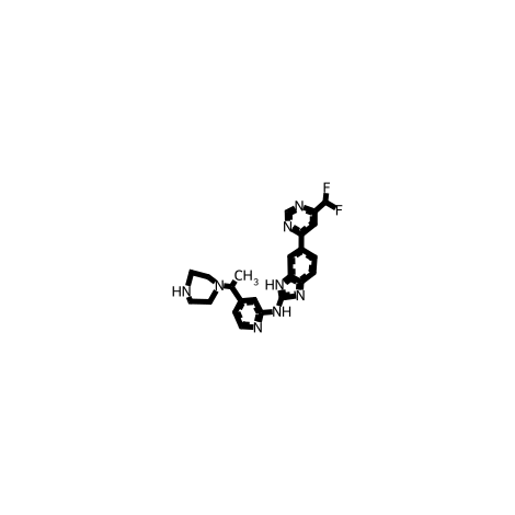 CC(c1ccnc(Nc2nc3ccc(-c4cc(C(F)F)ncn4)cc3[nH]2)c1)N1CCNCC1